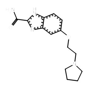 NC(=O)c1nc2cc(OCCN3CCCC3)ccc2[nH]1